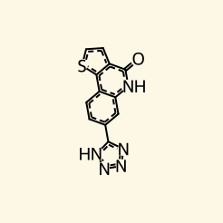 O=c1[nH]c2cc(-c3nnn[nH]3)ccc2c2sccc12